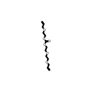 C=CCOCCOCCOC(=O)OCCOCC=C